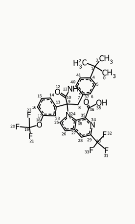 CC(C)(C)c1ccc(CC(C(N)=O)(c2cccc(OC(F)(F)F)c2)n2ccc3cc(C(F)(F)F)nc(C(=O)O)c32)cc1